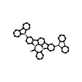 O=c1c2ccccc2n2c3ccc(C4c5ccccc5-c5ccccc54)cc3c3ccc4c5cc(-n6c7ccccc7c7ccccc76)ccc5n1c4c32